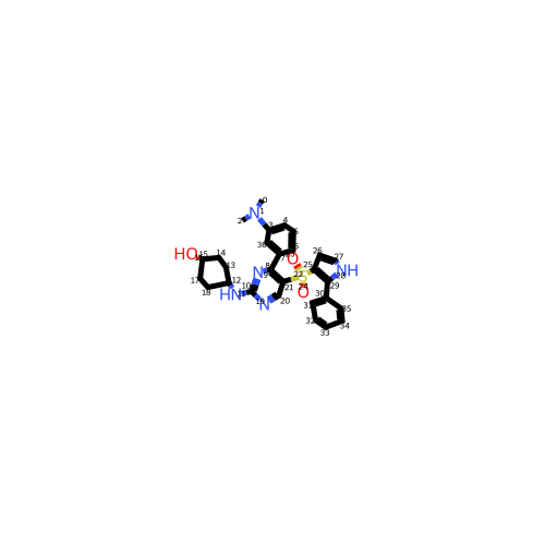 CN(C)c1cccc(-c2nc(NC3CCC(O)CC3)ncc2S(=O)(=O)c2cc[nH]c2-c2ccccc2)c1